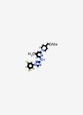 COCC1CCN(c2cc(C)cc(Nc3ncn(-c4cc(F)cc(F)c4)n3)n2)CC1